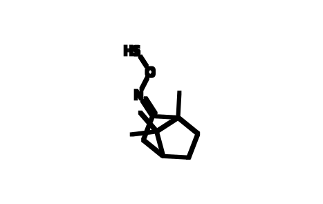 CC12CCC(CC1=NOS)C2(C)C